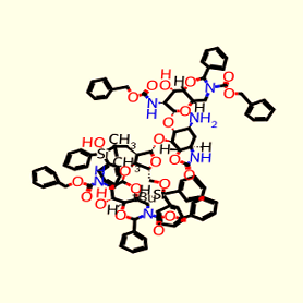 CC(C)(C[C@H]1[C@H](O[C@@H]2[C@H]3OC(=O)N[C@@H]3C[C@H](N)[C@H]2O[C@H]2O[C@@H]3CN(C(=O)OCc4ccccc4)C(c4ccccc4)O[C@H]3[C@@H](O)[C@H]2NC(=O)OCc2ccccc2)O[C@H](CO[Si](c2ccccc2)(c2ccccc2)C(C)(C)C)[C@H]1O[C@H]1O[C@H]2CN(C(=O)OCc3ccccc3)C(c3ccccc3)O[C@H]2[C@H](O)[C@H]1NC(=O)OCc1ccccc1)[Si](O)(c1ccccc1)c1ccccc1